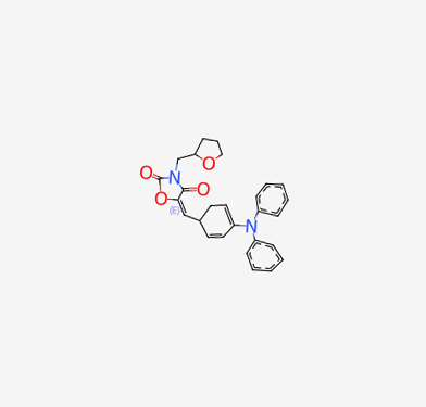 O=C1O/C(=C/C2C=CC(N(c3ccccc3)c3ccccc3)=CC2)C(=O)N1CC1CCCO1